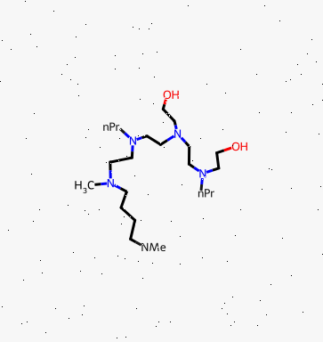 CCCN(CCO)CCN(CCO)CCN(CCC)CCN(C)CCCCNC